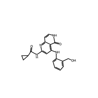 O=C(Nc1cc(Nc2ccccc2CO)c2c(=O)[nH]ccc2n1)C1CC1